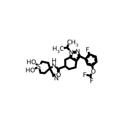 CC(C)n1nc(-c2cc(OC(F)F)ccc2F)c2c1CC(C(=O)NC1(C#N)CCS(O)(O)CC1)CC2